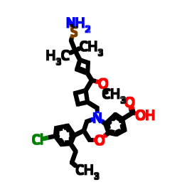 CCCc1cc(Cl)ccc1C1COc2ccc(C(=O)O)cc2N(CC2CCC2C(OC)C2=CC(C(C)(C)CSN)C2)C1